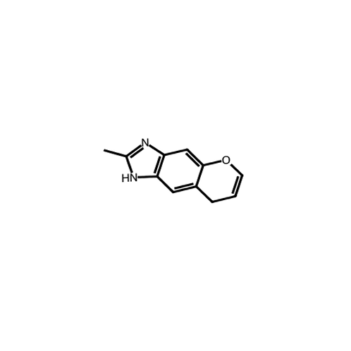 Cc1nc2cc3c(cc2[nH]1)CC=CO3